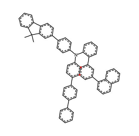 CC1(C)c2ccccc2-c2ccc(-c3ccc(N(c4ccc(-c5ccc(-c6ccccc6)cc5)cc4)c4ccccc4-c4cccc(-c5cccc6ccccc56)c4)cc3)cc21